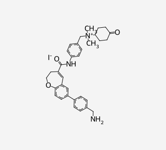 C[N+](C)(Cc1ccc(NC(=O)C2=Cc3cc(-c4ccc(CN)cc4)ccc3OCC2)cc1)C1CCC(=O)CC1.[I-]